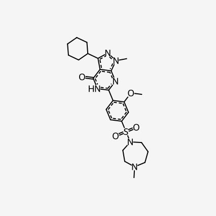 COc1cc(S(=O)(=O)N2CCCN(C)CC2)ccc1-c1nc2c(c(C3CCCCC3)nn2C)c(=O)[nH]1